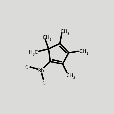 CC1=C(C)C(C)(C)[C]([Rh]([Cl])[Cl])=C1C